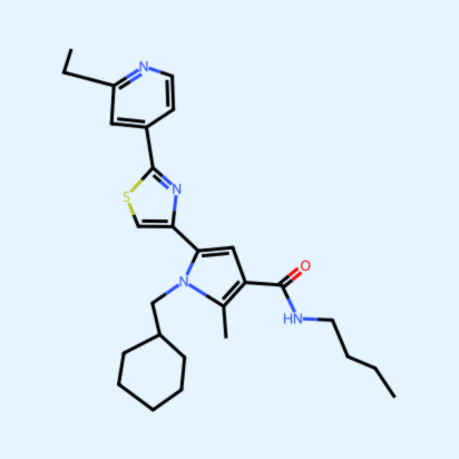 CCCCNC(=O)c1cc(-c2csc(-c3ccnc(CC)c3)n2)n(CC2CCCCC2)c1C